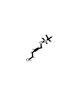 CC(C)(C)[Si](C)(C)OCC#CCCCl